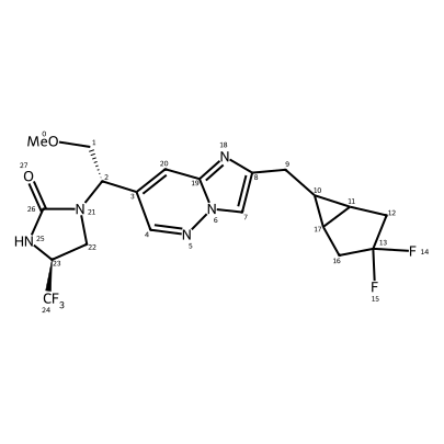 COC[C@H](c1cnn2cc(CC3C4CC(F)(F)CC34)nc2c1)N1C[C@@H](C(F)(F)F)NC1=O